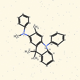 Cc1cc2c(cc1N(C)c1ccccc1)C(C)(C)c1ccccc1N2c1ccccc1